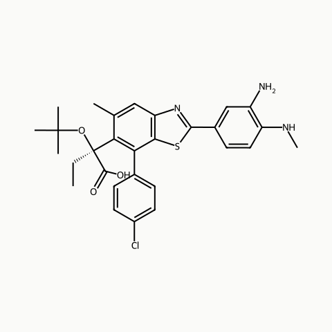 CC[C@@](OC(C)(C)C)(C(=O)O)c1c(C)cc2nc(-c3ccc(NC)c(N)c3)sc2c1-c1ccc(Cl)cc1